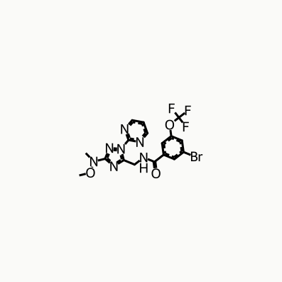 CON(C)c1nc(CNC(=O)c2cc(Br)cc(OC(F)(F)F)c2)n(-c2ncccn2)n1